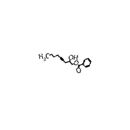 CCCCC#CCC(O)COC(=O)c1ccccc1